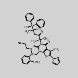 COc1ccccc1[C@H](Cn1c(=O)n(C(C)(C)C(=O)CC(C)(C)[Si](O)(c2ccccc2)c2ccccc2)c(=O)c2c(C)c(-n3nccn3)sc21)OCCC#N